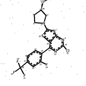 CO[C@@H]1CCN(c2nc3nc(Cl)nc(-c4ccc(C(F)(F)F)cc4F)c3s2)C1